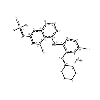 CO[C@@H]1CCCC[C@H]1Oc1cc(F)ccc1Nc1ncnc2cc(N=S(C)(C)=O)cc(F)c12